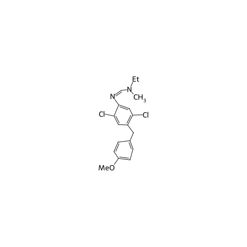 CCN(C)/C=N\c1cc(Cl)c(Cc2ccc(OC)cc2)cc1Cl